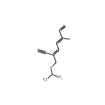 C#C/C(=C\C=C(/C)C=C)COC(C(F)(F)F)C(F)(F)F